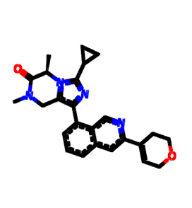 C[C@@H]1C(=O)N(C)Cc2c(-c3cccc4cc(C5=CCOCC5)ncc34)nc(C3CC3)n21